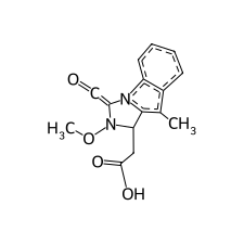 CON1C(=C=O)n2c(c(C)c3ccccc32)C1CC(=O)O